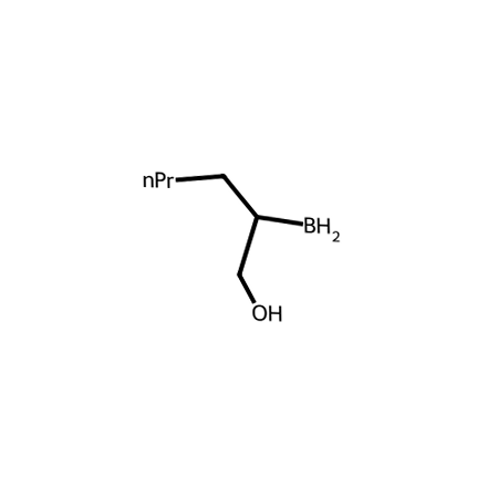 BC(CO)CCCC